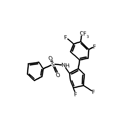 O=S(=O)(Nc1cc(F)c(F)cc1-c1cc(F)c(C(F)(F)F)c(F)c1)c1ccccc1